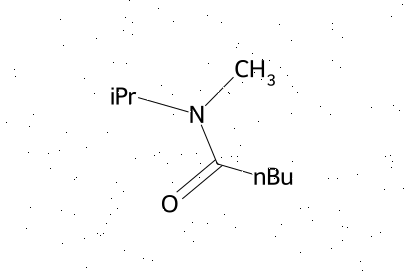 CCCCC(=O)N(C)C(C)C